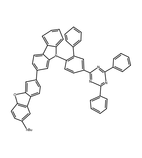 CCCCc1ccc2oc3cc(-c4ccc5c6ccccc6n(-c6ccc(-c7nc(-c8ccccc8)nc(-c8ccccc8)n7)cc6-c6ccccc6)c5c4)ccc3c2c1